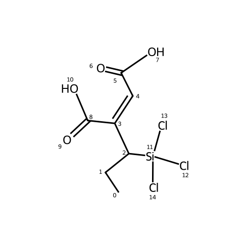 CCC(C(=CC(=O)O)C(=O)O)[Si](Cl)(Cl)Cl